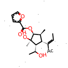 C/C=C(/C(C)=O)[C@H]1[C@H](C)[C@H](OC(=O)c2ccco2)[C@](C)(O)[C@H]1C(C)O